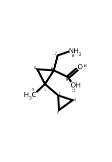 CC1(C2CC2)CC1(CN)C(=O)O